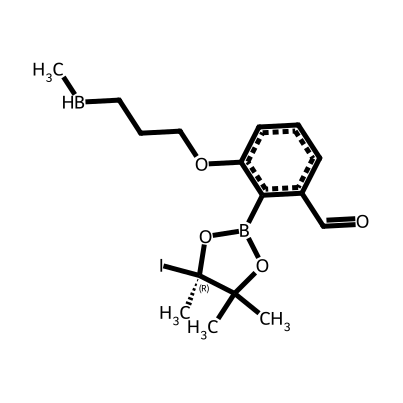 CBCCCOc1cccc(C=O)c1B1OC(C)(C)[C@@](C)(I)O1